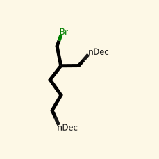 CCCCCCCCCCCCCC(CBr)CCCCCCCCCCC